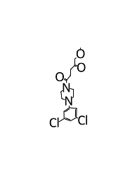 COCC(=O)CCC(=O)N1CCN(c2cc(Cl)cc(Cl)c2)CC1